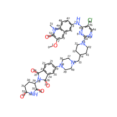 COc1cc2cc(Nc3nc(N4CCC(CN5CCN(c6ccc7c(c6)C(=O)N(C6CCC(=O)NC6=O)C7=O)CC5)CC4)ncc3Cl)ccc2n(C)c1=O